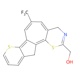 OCC1=NCC2=CC(C(F)(F)F)=CC3=C4SC=CC=C4CC3=C2S1